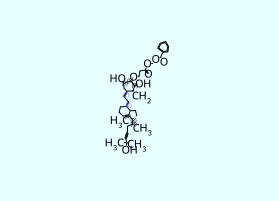 C=C1/C(=C\C=C2/CCC[C@@]3(C)C2CC[C@@H]3[C@H](C)CC#CC(C)(C)O)C[C@@H](O)[C@H](OCCC(=O)OCOC(=O)c2ccccc2)[C@@H]1O